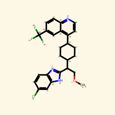 COCC(c1nc2ccc(Cl)cc2[nH]1)C1CCC(c2ccnc3ccc(C(F)(F)F)cc23)CC1